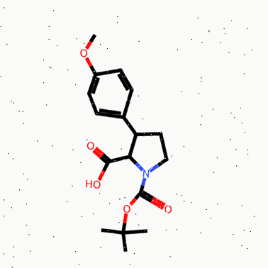 COc1ccc(C2CCN(C(=O)OC(C)(C)C)C2C(=O)O)cc1